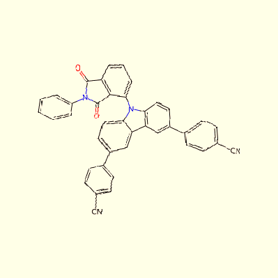 N#Cc1ccc(-c2ccc3c(c2)c2cc(-c4ccc(C#N)cc4)ccc2n3-c2cccc3c2C(=O)N(c2ccccc2)C3=O)cc1